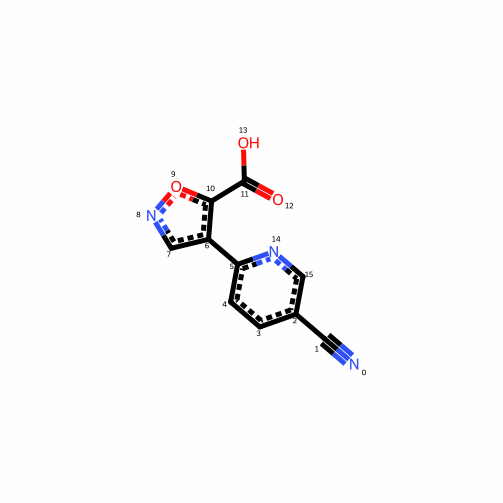 N#Cc1ccc(-c2cnoc2C(=O)O)nc1